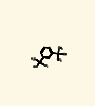 CC(C)(O)c1ccnc(C(C)(C)O)c1